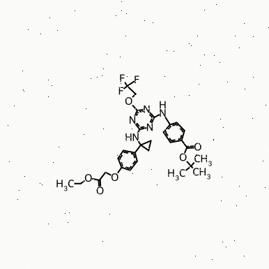 CCOC(=O)COc1ccc(C2(Nc3nc(Nc4ccc(C(=O)OC(C)(C)C)cc4)nc(OCC(F)(F)F)n3)CC2)cc1